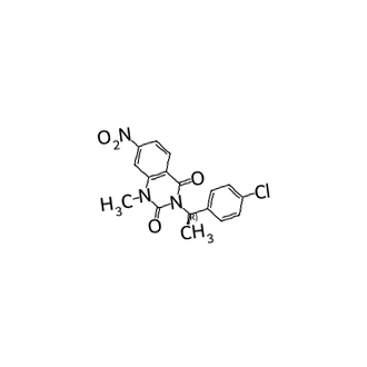 C[C@H](c1ccc(Cl)cc1)n1c(=O)c2ccc([N+](=O)[O-])cc2n(C)c1=O